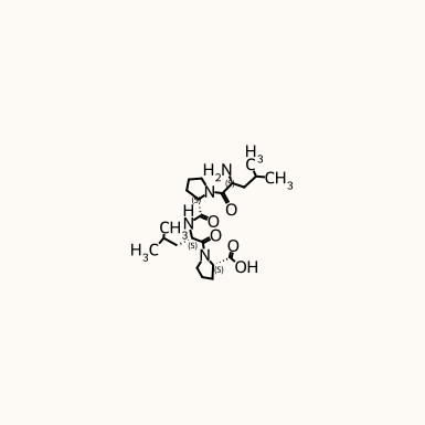 CC(C)C[C@H](NC(=O)[C@@H]1CCCN1C(=O)[C@@H](N)CC(C)C)C(=O)N1CCC[C@H]1C(=O)O